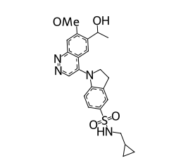 COc1cc2nncc(N3CCc4cc(S(=O)(=O)NCC5CC5)ccc43)c2cc1C(C)O